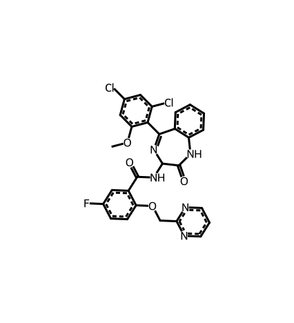 COc1cc(Cl)cc(Cl)c1C1=NC(NC(=O)c2cc(F)ccc2OCc2ncccn2)C(=O)Nc2ccccc21